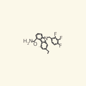 CCc1c[c]c2c3c(C(N)=O)cccc3n(Cc3ccc(F)c(F)c3F)c2c1